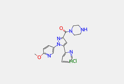 COc1ccc(-n2nc(C(=O)N3CCNCC3)cc2-c2ccccn2)cn1.Cl